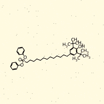 CC(C)(C)c1cc(CCCCCCCCCCCCCP(=O)(Oc2ccccc2)Oc2ccccc2)cc(C(C)(C)C)c1O